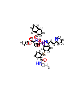 CNC(=O)c1ccccc1Sc1ccc2c(/C=C/c3ccccn3)nn([PH](=O)ON(Oc3cccc4ccccc34)[C@@H](C)C(=O)OC)c2c1